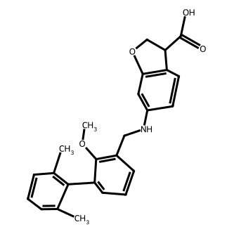 COc1c(CNc2ccc3c(c2)OCC3C(=O)O)cccc1-c1c(C)cccc1C